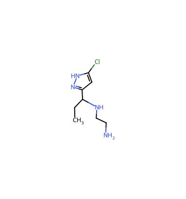 CCC(NCCN)c1cc(Cl)[nH]n1